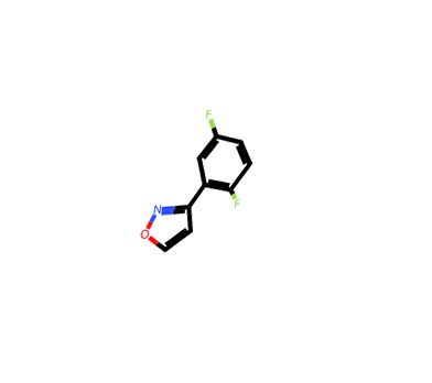 Fc1ccc(F)c(-c2ccon2)c1